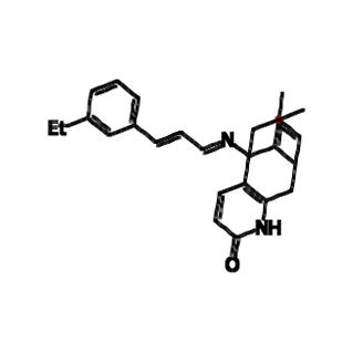 C/C=C1\C2C=C(C)CC1(/N=C/C=C/c1cccc(CC)c1)c1ccc(=O)[nH]c1C2